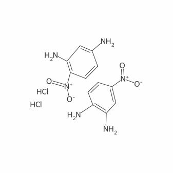 Cl.Cl.Nc1ccc([N+](=O)[O-])c(N)c1.Nc1ccc([N+](=O)[O-])cc1N